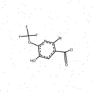 O=C(Cl)c1cc(O)c(OC(F)(F)F)nc1Br